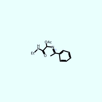 CCNC(=O)C(/N=C(\C)c1ccccc1)OC(C)=O